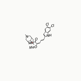 CO/C(=C/C=C/c1cc2cc(Cl)c(Cl)cc2[nH]1)C(=O)NC1C2CN(C)CC1CN(C)C2